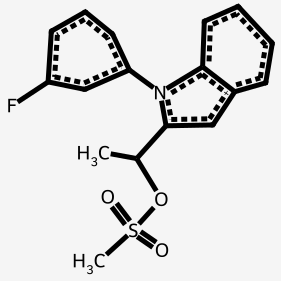 CC(OS(C)(=O)=O)c1cc2ccccc2n1-c1cccc(F)c1